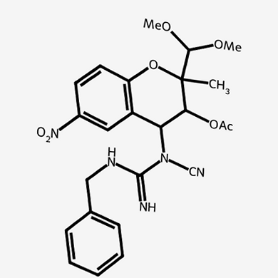 COC(OC)C1(C)Oc2ccc([N+](=O)[O-])cc2C(N(C#N)C(=N)NCc2ccccc2)C1OC(C)=O